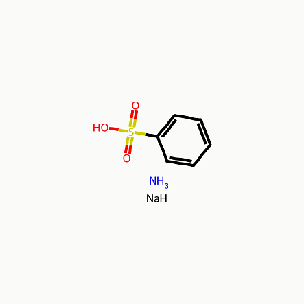 N.O=S(=O)(O)c1ccccc1.[NaH]